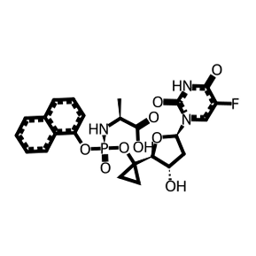 C[C@H](N[P@@](=O)(Oc1cccc2ccccc12)OC1([C@H]2O[C@@H](n3cc(F)c(=O)[nH]c3=O)C[C@@H]2O)CC1)C(=O)O